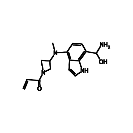 C=CC(=O)N1CC(N(C)c2ccc(C(N)O)c3[nH]ccc23)C1